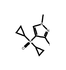 Cn1cc(P(=O)(C2CC2)C2CC2)c(I)n1